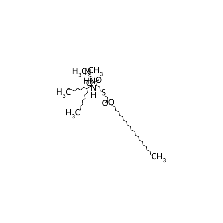 CCCCCCCCCCCCCCCCCCCCCCOC(=O)CCSCCC(NC(=O)C(CCCCCC)CCCCCCCC)C(=O)NCCN(C)C